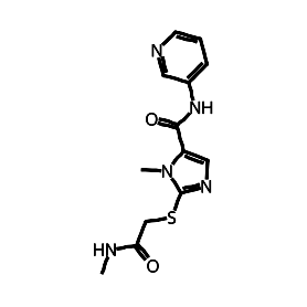 CNC(=O)CSc1ncc(C(=O)Nc2cccnc2)n1C